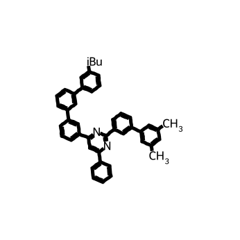 CCC(C)c1cccc(-c2cccc(-c3cccc(-c4cc(-c5ccccc5)nc(-c5cccc(-c6cc(C)cc(C)c6)c5)n4)c3)c2)c1